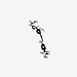 Cc1cc(C#CCNc2ccc(C(=N)NC(=O)OC(C)(C)C)cc2)ccc1C(=O)N1CCC(NC(=O)OC(C)(C)C)C1